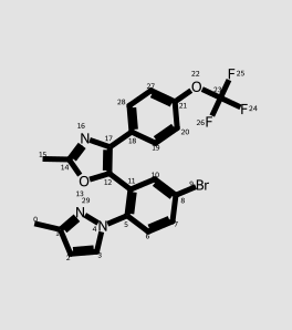 Cc1ccn(-c2ccc(Br)cc2-c2oc(C)nc2-c2ccc(OC(F)(F)F)cc2)n1